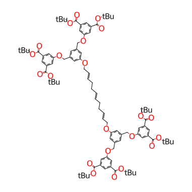 CC(C)(C)OC(=O)c1cc(OCc2cc(COc3cc(C(=O)OC(C)(C)C)cc(C(=O)OC(C)(C)C)c3)cc(OCC=CCCC=CCCC=CCOc3cc(COc4cc(C(=O)OC(C)(C)C)cc(C(=O)OC(C)(C)C)c4)cc(COc4cc(C(=O)OC(C)(C)C)cc(C(=O)OC(C)(C)C)c4)c3)c2)cc(C(=O)OC(C)(C)C)c1